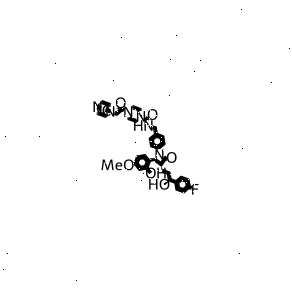 COc1ccc([C@@H]2[C@@H](CC[C@H](O)c3ccc(F)cc3)C(=O)N2c2ccc(CNC(=O)N3CCN(C(=O)C[N+]45CCN(CC4)CC5)CC3)cc2)c(O)c1